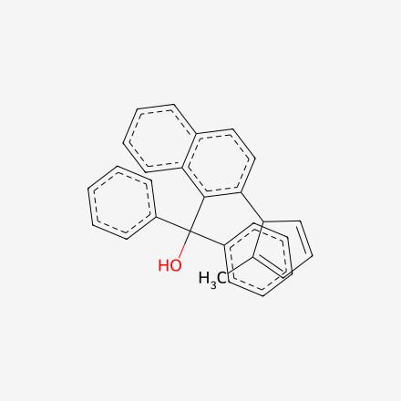 CC1=CC=CC1c1ccc2ccccc2c1C(O)(c1ccccc1)c1ccccc1